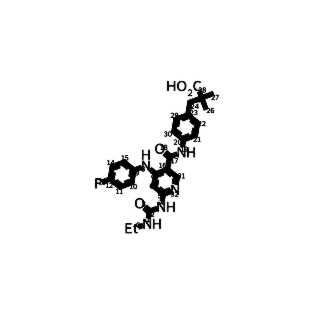 CCNC(=O)Nc1cc(Nc2ccc(F)cc2)c(C(=O)Nc2ccc(CC(C)(C)C(=O)O)cc2)cn1